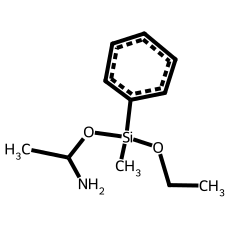 CCO[Si](C)(OC(C)N)c1ccccc1